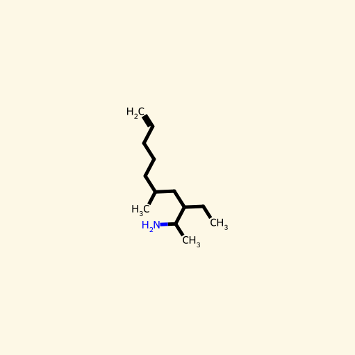 C=CCCCC(C)CC(CC)C(C)N